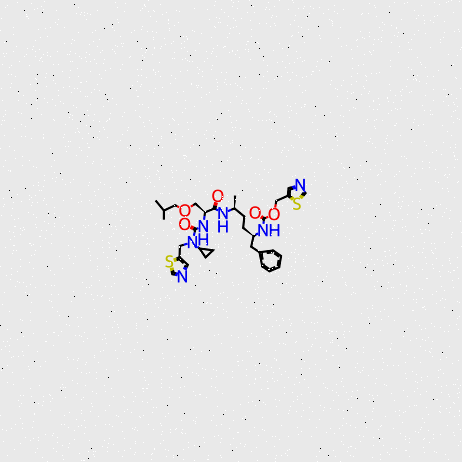 CC(C)COC[C@H](NC(=O)N(Cc1cncs1)C1CC1)C(=O)N[C@@H](C)CC[C@H](Cc1ccccc1)NC(=O)OCc1cncs1